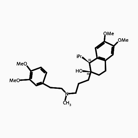 COc1ccc(CCN(C)CCC[C@@]2(O)CCc3cc(OC)c(OC)cc3[C@@H]2C(C)C)cc1OC